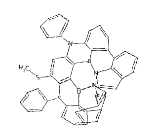 CSc1cc2c(c3c1N(c1ccccc1)c1cccc4c1B3n1ccc3cccc-4c31)B1c3c(cccc3N2c2ccccc2)-c2cccc3ccn1c23